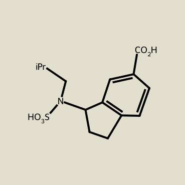 CC(C)CN(C1CCc2ccc(C(=O)O)cc21)S(=O)(=O)O